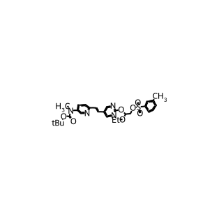 CCOC(COS(=O)(=O)c1cccc(C)c1)Oc1ncc(/C=C/c2ccc(N(C)C(=O)OC(C)(C)C)cn2)cn1